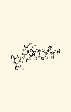 Cc1cc(F)cc(-c2ccc(N(Cc3ccc(C(=O)NO)cc3)C(=O)N3CCOCC3)cc2)c1